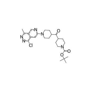 Cc1nnc(Cl)c2cc(N3CCC(C(=O)C4CCN(C(=O)OC(C)(C)C)CC4)CC3)ncc12